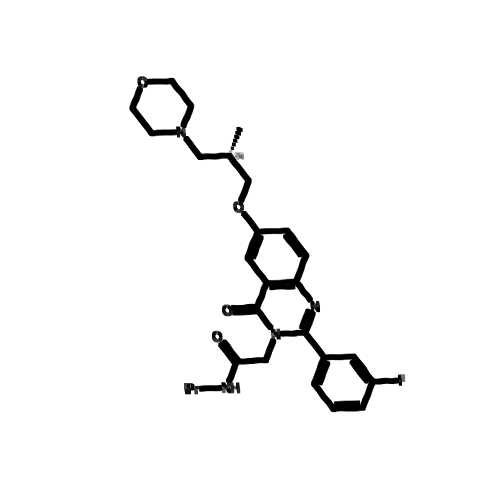 CC(C)NC(=O)Cn1c(-c2cccc(F)c2)nc2ccc(OC[C@@H](C)CN3CCOCC3)cc2c1=O